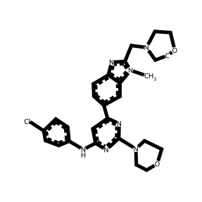 Cn1c(CN2CCOCC2)nc2ccc(-c3cc(Nc4ccc(Cl)cc4)nc(N4CCOCC4)n3)cc21